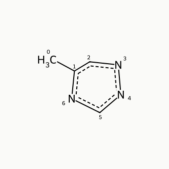 Cc1cnncn1